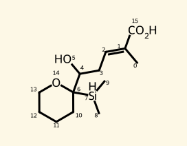 CC(=CCC(O)C1([SiH](C)C)CCCCO1)C(=O)O